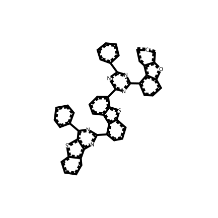 c1ccc(-c2nc(-c3cccc4c3sc3cccc(-c5nc(-c6ccccc6)c6sc7ccccc7c6n5)c34)nc(-c3cccc4oc5ccccc5c34)n2)cc1